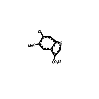 CCOC(=O)c1coc2cc(Cl)c(OC)cc12